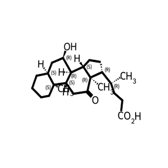 C[C@H](CCC(=O)O)[C@H]1CC[C@H]2[C@@H]3[C@H](O)C[C@@H]4CCCC[C@]4(C)[C@H]3CC(=O)[C@]12C